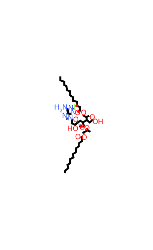 C#C[C@@]1(CC(C(=O)OC(C)COC(=O)CCCCCCCCCCCCC)C(CC(=O)O)C(C)COC(=O)CCCCCCCCCCCCC)O[C@@H](n2cnc3c(N)nc(F)nc32)C[C@@H]1O